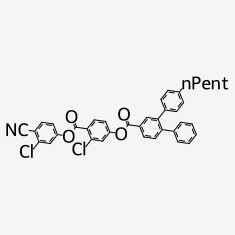 CCCCCc1ccc(-c2cc(C(=O)Oc3ccc(C(=O)Oc4ccc(C#N)c(Cl)c4)c(Cl)c3)ccc2-c2ccccc2)cc1